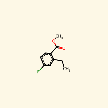 CCc1cc(F)ccc1C(=O)OC